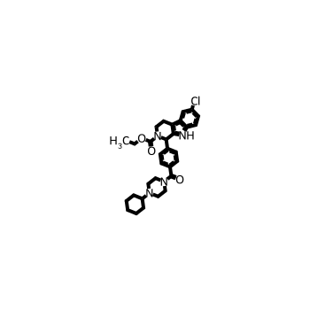 CCOC(=O)N1CCc2c([nH]c3ccc(Cl)cc23)C1c1ccc(C(=O)N2CCN(C3CCCCC3)CC2)cc1